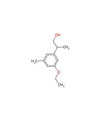 CCOc1cc(C)cc([C](C)CO)c1